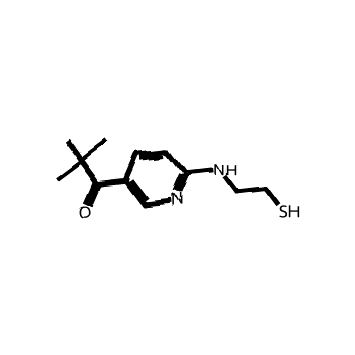 CC(C)(C)C(=O)c1ccc(NCCS)nc1